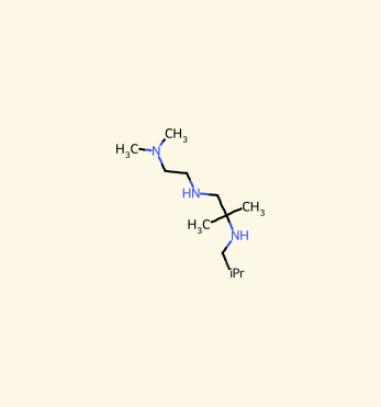 CC(C)CNC(C)(C)CNCCN(C)C